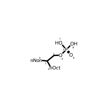 CCCCCCCCCC(CCCCCCCC)COP(=O)(O)O